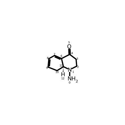 NN1CCC(=O)C2=CC=CC[C@@H]21